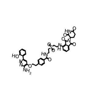 Nc1nnc(-c2ccccc2O)cc1OCCc1ccc(C(=O)NCCS(=O)(=O)CCNc2cccc3c2C(=O)N(C2CCC(=O)NC2=O)C3=O)cc1